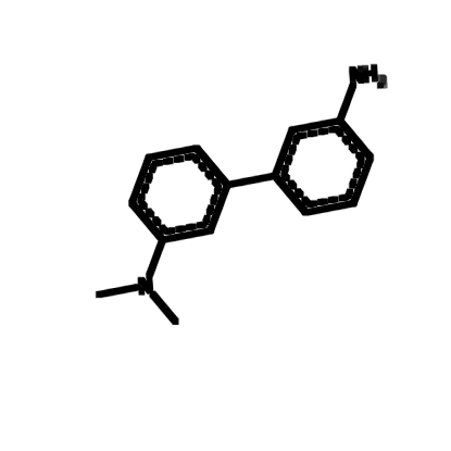 CN(C)c1cccc(-c2cccc(N)c2)c1